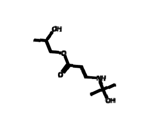 CC(O)COC(=O)CCNC(C)(C)O